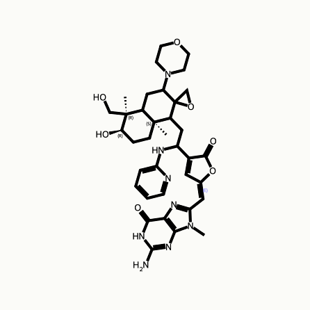 Cn1c(/C=C2\C=C(C(CC3C4(CO4)C(N4CCOCC4)CC4[C@]3(C)CC[C@@H](O)[C@@]4(C)CO)Nc3ccccn3)C(=O)O2)nc2c(=O)[nH]c(N)nc21